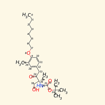 CCCCCCCCOc1ccc(CC(=O)[C@](C)(CO)NC(=O)OC(C)(C)C)cc1C